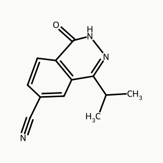 CC(C)c1n[nH]c(=O)c2ccc(C#N)cc12